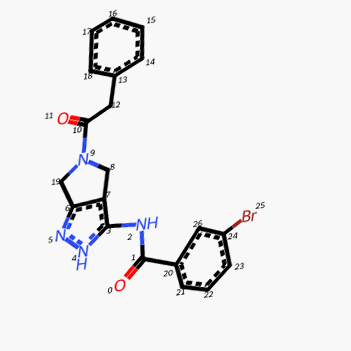 O=C(Nc1[nH]nc2c1CN(C(=O)Cc1ccccc1)C2)c1cccc(Br)c1